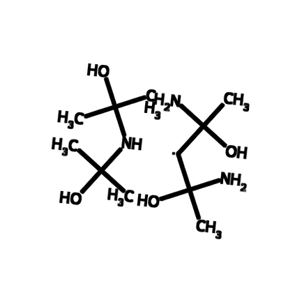 CC(C)(O)NC(C)(C)O.CC(N)(O)[CH]C(C)(N)O